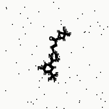 O=C(C=Cn1cnc(-c2cc(F)cc(C(F)(F)F)c2)n1)N1CC(F)(F)C1